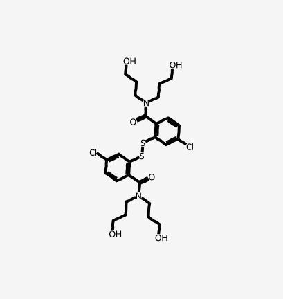 O=C(c1ccc(Cl)cc1SSc1cc(Cl)ccc1C(=O)N(CCCO)CCCO)N(CCCO)CCCO